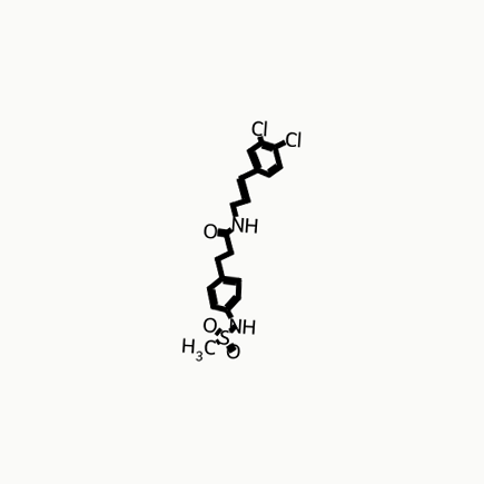 CS(=O)(=O)Nc1ccc(CCC(=O)NCC=Cc2ccc(Cl)c(Cl)c2)cc1